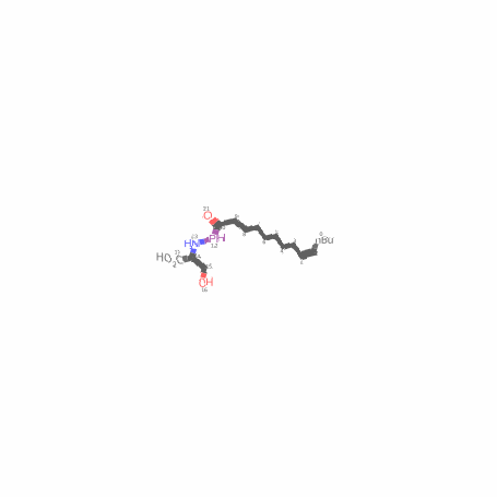 CCCC/C=C\CCCCCCCC(=O)PNC(CO)C(=O)O